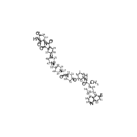 C[C@@H](C(=O)Nc1cccc(OC2CCN(C(=O)CN3CCC(CN4CCN(c5ccc6c(c5)C(=O)N(C5CCC(=O)NC5=O)C6=O)CC4)CC3)CC2)c1)[C@H]1CC[C@@H](c2ccnc3ccc(F)cc32)CC1